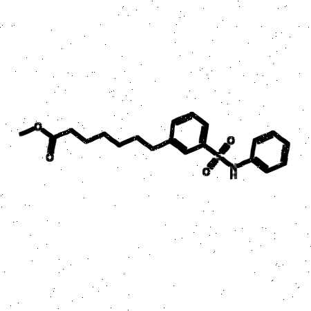 COC(=O)CCCCCCc1cccc(S(=O)(=O)Nc2ccccc2)c1